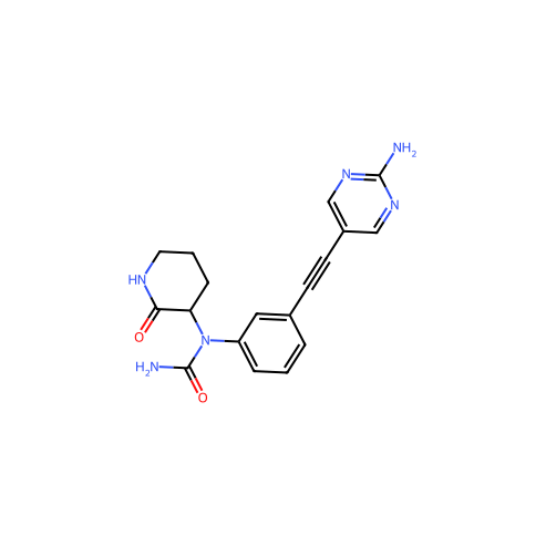 NC(=O)N(c1cccc(C#Cc2cnc(N)nc2)c1)C1CCCNC1=O